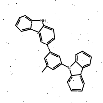 Cc1cc(-c2ccc3[nH]c4ccccc4c3c2)cc(-n2c3ccccc3c3ccccc32)c1